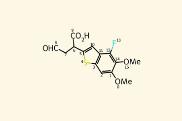 COc1cc2sc(C(CC=O)C(=O)O)cc2c(F)c1OC